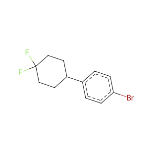 FC1(F)CCC(c2ccc(Br)cc2)CC1